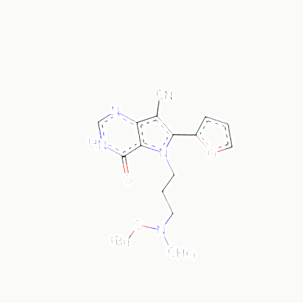 CC(C)(C)ON(C=O)CCCn1c(-c2ccco2)c(C#N)c2nc[nH]c(=O)c21